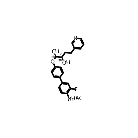 CC(=O)Nc1ccc(-c2ccc(O[C@@H](C)[C@H](O)CCc3cccnc3)cc2)cc1F